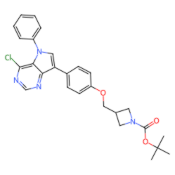 CC(C)(C)OC(=O)N1CC(COc2ccc(-c3cn(-c4ccccc4)c4c(Cl)ncnc34)cc2)C1